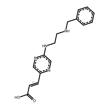 O=C(O)/C=C/c1cnc(NCCNCc2ccccc2)cn1